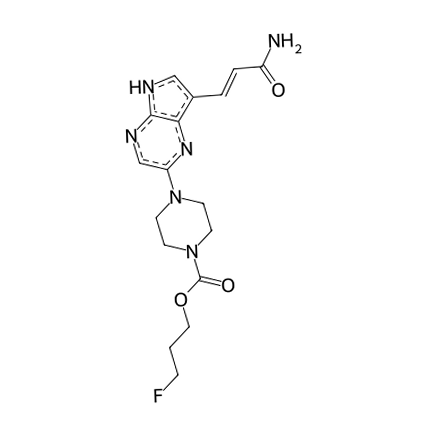 NC(=O)C=Cc1c[nH]c2ncc(N3CCN(C(=O)OCCCF)CC3)nc12